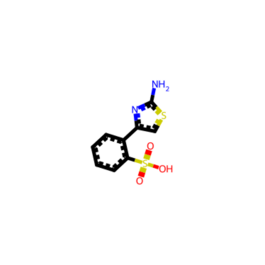 Nc1nc(-c2ccccc2S(=O)(=O)O)cs1